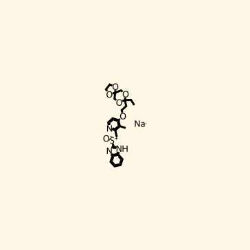 CCC1(CCOc2ccnc(C[S+]([O-])c3nc4ccccc4[nH]3)c2C)OCC2(CO1)OCCO2.[Na]